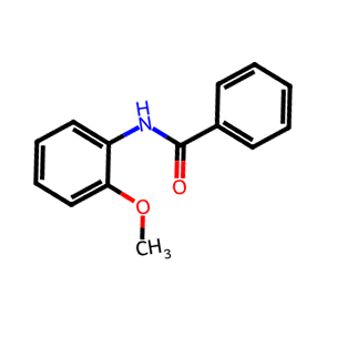 COc1ccccc1NC(=O)c1ccccc1